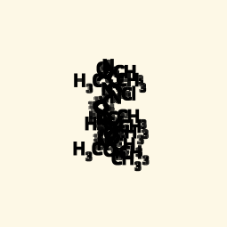 Cc1noc(C)c1-c1nc(-c2cccc(OC[C@@H](CN(C)C(=O)OC(C)(C)C)O[Si](C)(C)C(C)(C)C)c2)nc(Cl)c1C